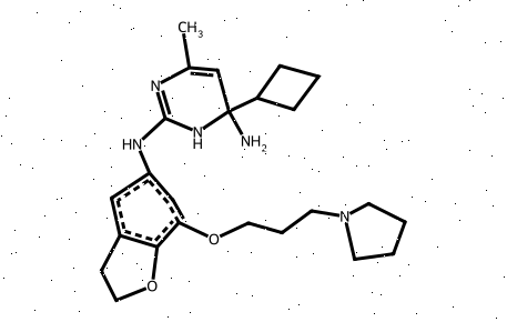 CC1=CC(N)(C2CCC2)NC(Nc2cc3c(c(OCCCN4CCCC4)c2)OCC3)=N1